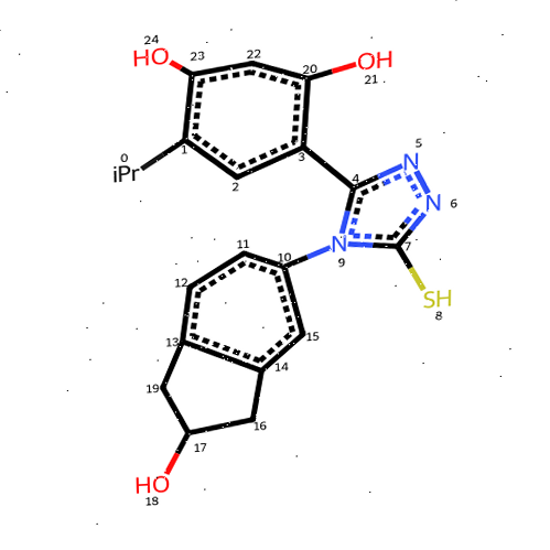 CC(C)c1cc(-c2nnc(S)n2-c2ccc3c(c2)CC(O)C3)c(O)cc1O